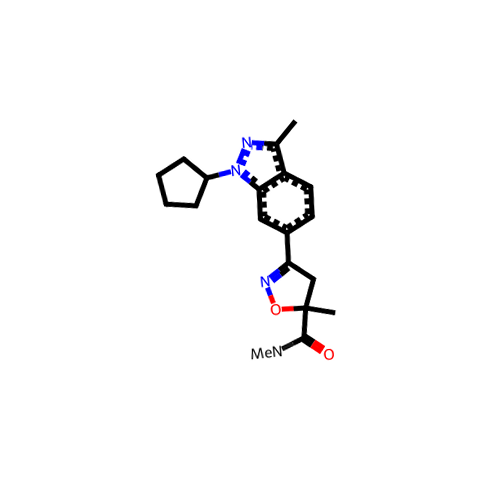 CNC(=O)C1(C)CC(c2ccc3c(C)nn(C4CCCC4)c3c2)=NO1